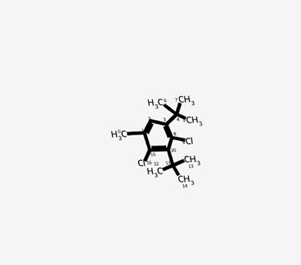 Cc1cc(C(C)(C)C)c(Cl)c(C(C)(C)C)c1Cl